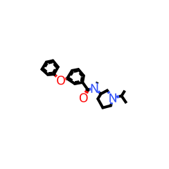 CC(C)N1CCCC(N(C)C(=O)c2cccc(Oc3ccccc3)c2)C1